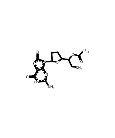 CCC(OC(C)=O)C1CCC(n2c(=O)sc3c(=O)[nH]c(N)nc32)O1